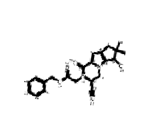 CC1(C)Cc2cc3n(c2C1Cl)CC(C#N)N(CC(=O)OCc1ccccc1)C3=O